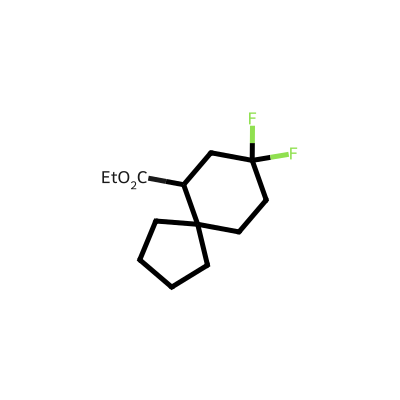 CCOC(=O)C1CC(F)(F)CCC12CCCC2